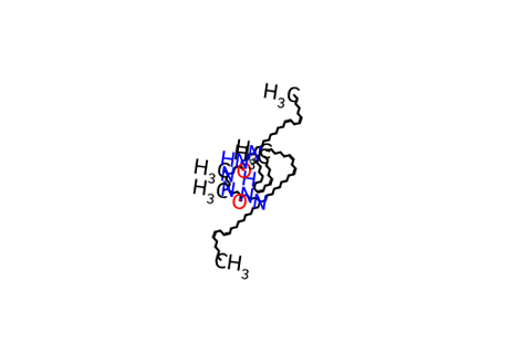 CCCCC/C=C\C/C=C\CCCCCCCCN(CCCCCCCC/C=C\C/C=C\CCCCC)CCNC(=O)CCN(C)CCN(C)CCC(=O)NCCN(CCCCCCCC/C=C\C/C=C\CCCCC)CCCCCCCC/C=C\C/C=C\CCCCC